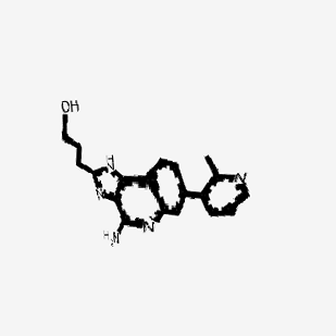 Cc1ncccc1-c1ccc2c(c1)nc(N)c1nc(CCCO)[nH]c12